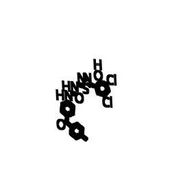 Cc1ccc(C(=O)c2ccc(NC(=O)Nc3nnc(-c4cc(Cl)cc(Cl)c4O)s3)cc2)cc1